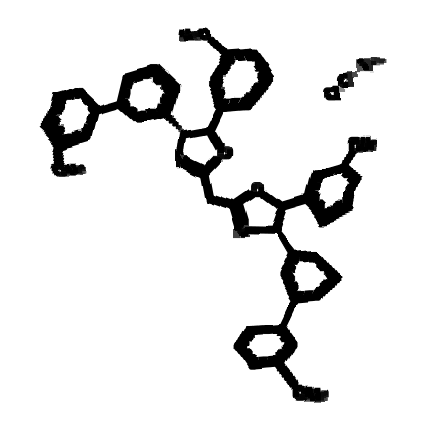 COc1cccc(-c2cccc([C@H]3N=C(CC4=N[C@H](c5cccc(-c6cccc(OC)c6)c5)C(c5cccc(OC)c5)O4)OC3c3cccc(OC)c3)c2)c1.[Cl-].[Cl-].[Ni+2]